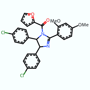 COc1ccc(C2=NC(c3ccc(Cl)cc3)C(c3ccc(Cl)cc3)N2C(=O)c2ccco2)c(OC)c1